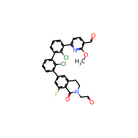 COc1nc(-c2cccc(-c3cccc(-c4cc(F)c5c(c4)CCN(CC=O)C5=O)c3Cl)c2Cl)ccc1C=O